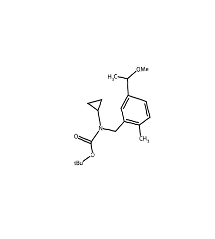 COC(C)c1ccc(C)c(CN(C(=O)OC(C)(C)C)C2CC2)c1